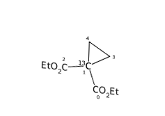 CCOC(=O)[13C]1(C(=O)OCC)CC1